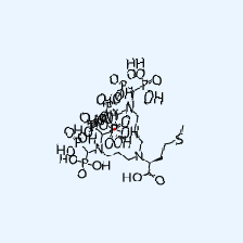 CSCC[C@@H](C(=O)O)N(CCCN(C(P(=O)(O)O)P(=O)(O)O)C(P(=O)(O)O)P(=O)(O)O)CCCN(C(P(=O)(O)O)P(=O)(O)O)C(P(=O)(O)O)P(=O)(O)O